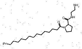 CC(C)CCCCCCCCCCCCCC(=O)N1CCCC1C(=O)NCCN